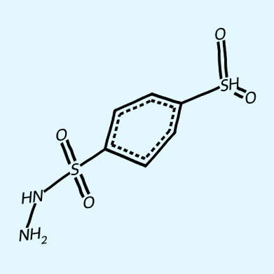 NNS(=O)(=O)c1ccc([SH](=O)=O)cc1